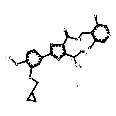 COc1ccc(-c2nc(C(=O)NCc3c(Cl)cncc3Cl)c([C@H](C)N)o2)cc1OCC1CC1.Cl.Cl